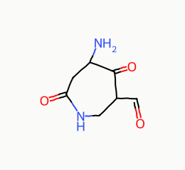 NC1CC(=O)NCC(C=O)C1=O